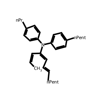 C/C=C\C(=C/C=CCCCCC)N(c1ccc(CCC)cc1)c1ccc(CCCCC)cc1